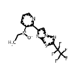 CC[S+]([O-])c1cccnc1-c1cn2nc(C(F)(F)C(F)(F)F)sc2n1